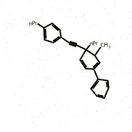 CCCc1ccc(C#CC2(CCC)C=CC(c3ccccc3)=CC2C)cc1